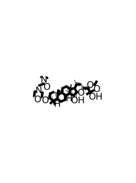 CC(=O)O[C@@H]([C@H]1C[C@@H](C)C2C(O1)[C@H](O)[C@@]1(C)[C@@H]3CC[C@H]4C(C)(C)[C@@H](OC5CN(CC(=O)N(C)C)CCO5)CC[C@@]45C[C@@]35CC[C@]21C)C(C)(C)O